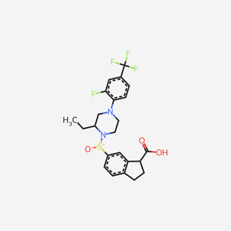 CCC1CN(c2ccc(C(F)(F)F)cc2F)CCN1[S+]([O-])c1ccc2c(c1)C(C(=O)O)CC2